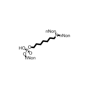 CCCCCCCCCOP(=O)(O)OCCCCCCCN(CCCCCCCCC)CCCCCCCCC